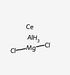 [AlH3].[Ce].[Cl][Mg][Cl]